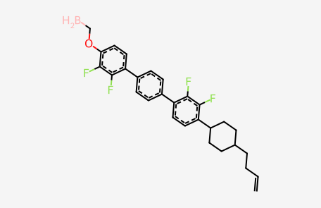 BCOc1ccc(-c2ccc(-c3ccc(C4CCC(CCC=C)CC4)c(F)c3F)cc2)c(F)c1F